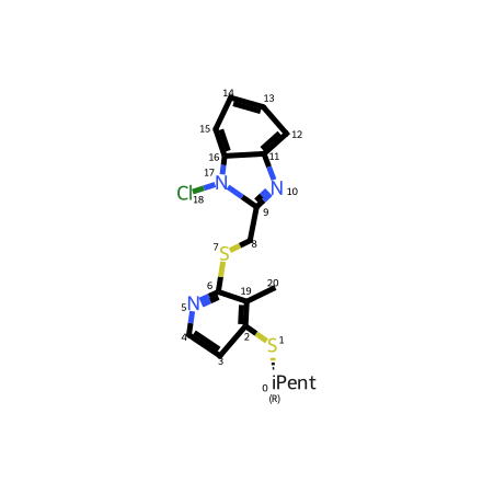 CCC[C@@H](C)Sc1ccnc(SCc2nc3ccccc3n2Cl)c1C